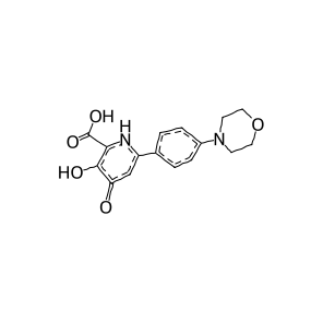 O=C(O)c1[nH]c(-c2ccc(N3CCOCC3)cc2)cc(=O)c1O